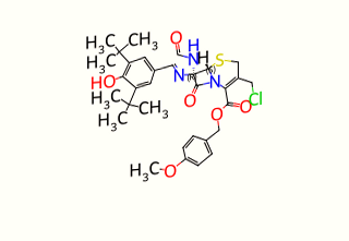 COc1ccc(COC(=O)C2=C(CCl)CS[C@@H]3N2C(=O)[C@]3(N=Cc2cc(C(C)(C)C)c(O)c(C(C)(C)C)c2)NC=O)cc1